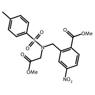 COC(=O)CN(Cc1cc([N+](=O)[O-])ccc1C(=O)OC)S(=O)(=O)c1ccc(C)cc1